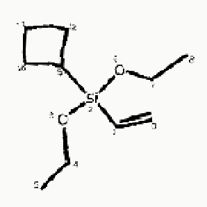 C=C[Si](OCC)(OCC)C1CCC1